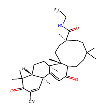 CC1(C)CCC2C(=O)C=C3[C@@]4(C)C=C(C#N)C(=O)C(C)(C)[C@@H]4CC[C@@]3(C)[C@]2(C)CC[C@@](C)(C(=O)NCC(F)(F)F)CC1